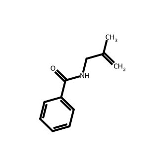 C=C(C)CNC(=O)c1ccccc1